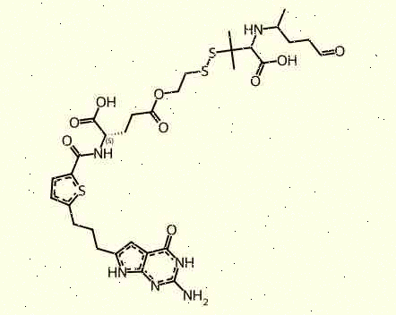 CC(CCC=O)NC(C(=O)O)C(C)(C)SSCCOC(=O)CC[C@H](NC(=O)c1ccc(CCCc2cc3c(=O)[nH]c(N)nc3[nH]2)s1)C(=O)O